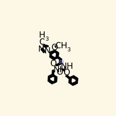 COc1cc(/C=C(/NC(=O)OCc2ccccc2)C(=O)NCc2ccccc2)ccc1-n1cnc(C)c1